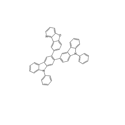 c1ccc(-n2c3ccccc3c3cc(-c4cc5c(cc4-c4ccc6oc7cccnc7c6c4)c4ccccc4n5-c4ccccc4)ccc32)cc1